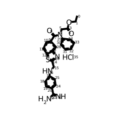 CCOC(=O)CN(C(=O)c1ccc2sc(CNc3ccc(C(=N)N)cc3)nc2c1)c1ccccc1.Cl